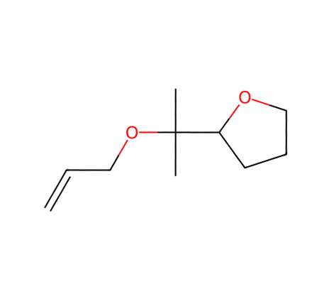 C=CCOC(C)(C)C1CCCO1